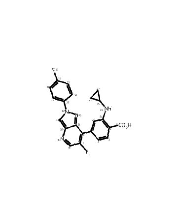 O=C(O)c1ccc(-c2c(F)cnc3cn(-c4ccc(F)cc4)nc23)cc1NC1CC1